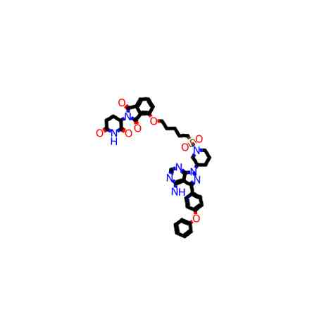 Nc1ncnc2c1c(-c1ccc(Oc3ccccc3)cc1)nn2C1CCCN(S(=O)(=O)CCCCCOc2cccc3c2C(=O)N(C2CCC(=O)NC2=O)C3=O)C1